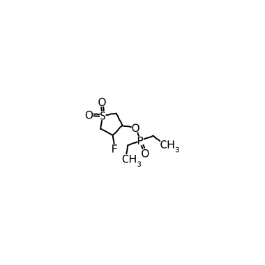 CCP(=O)(CC)OC1CS(=O)(=O)CC1F